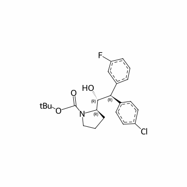 CC(C)(C)OC(=O)N1CCC[C@@H]1[C@H](O)[C@H](c1ccc(Cl)cc1)c1cccc(F)c1